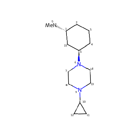 CN[C@@H]1CCC[C@@H](N2CCN(C3CC3)CC2)C1